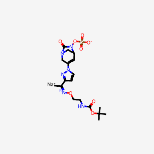 C/C(=N/OCCNC(=O)OC(C)(C)C)c1ccn(C2=CC3CN(C2)C(=O)N3OS(=O)(=O)[O-])n1.[Na+]